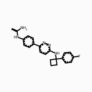 C=C(N)Nc1ccc(-c2ccc(NC3(c4ccc(F)cc4)CCC3)nn2)cc1